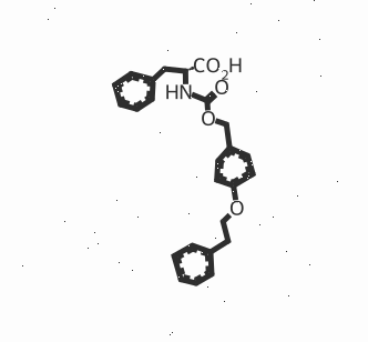 O=C(N[C@H](Cc1ccccc1)C(=O)O)OCc1ccc(OCCc2ccccc2)cc1